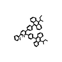 CCC(C)c1c2ccccc2c(-c2ccc(-c3ccc(-c4ccccn4)nc3-c3ccc(-c4c5ccccc5c(C(C)CC)c5ccccc45)cc3)cc2)c2ccccc12